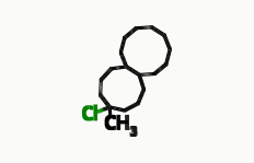 CC1(Cl)CCCC2CCCCCCCCC2CCC1